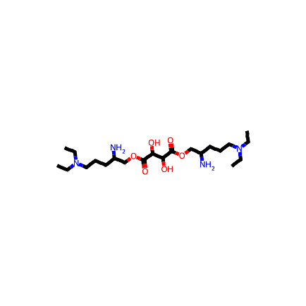 CCN(CC)CCCC(N)COC(=O)C(O)C(O)C(=O)OCC(N)CCCN(CC)CC